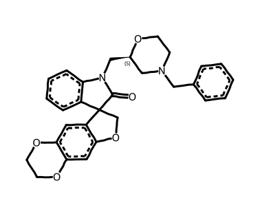 O=C1N(C[C@@H]2CN(Cc3ccccc3)CCO2)c2ccccc2C12COc1cc3c(cc12)OCCO3